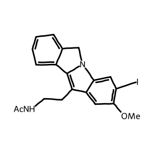 COc1cc2c(CCNC(C)=O)c3n(c2cc1I)Cc1ccccc1-3